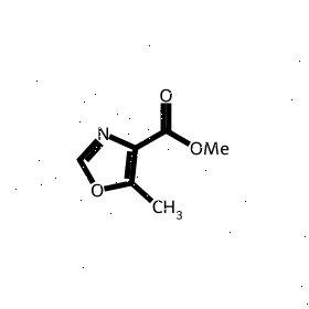 COC(=O)c1ncoc1C